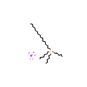 CCCCCCCCCCCCCCCC[PH](CCCCCC)(CCCCCC)CCCCCC.O=[N+]([O-])C([N+](=O)[O-])[N+](=O)[O-]